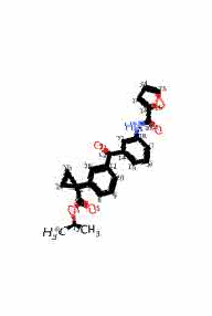 CC(C)OC(=O)C1(c2cccc(C(=O)c3cccc(NC(=O)c4ccco4)c3)c2)CC1